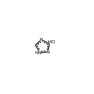 Cl.c1nc[nH]n1